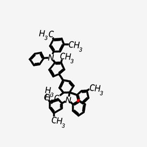 Cc1cc(C)cc(N(c2ccccc2)c2ccc(C3=CC(C)C(c4cccc(C)c4)(N(c4ccccc4)c4cc(C)cc(C)c4)C=C3)cc2C)c1